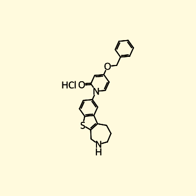 Cl.O=c1cc(OCc2ccccc2)ccn1-c1ccc2sc3c(c2c1)CCCNC3